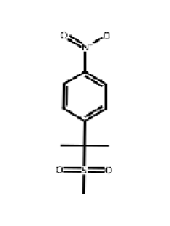 CC(C)(c1ccc([N+](=O)[O-])cc1)S(C)(=O)=O